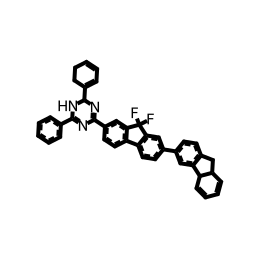 FC1(F)c2cc(C3=NC(C4=CC=CCC4)NC(c4ccccc4)=N3)ccc2-c2ccc(-c3ccc4c(c3)C3C=CC=CC3C4)cc21